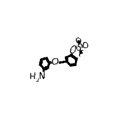 Nc1cccc(OCc2cccc(OS(=O)(=O)F)c2)c1